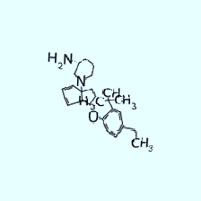 CCc1ccc(O[C@H]2CCC3(N4CCC[C@@H](N)C4)C=CC=CC23)c(C(C)(C)C)c1